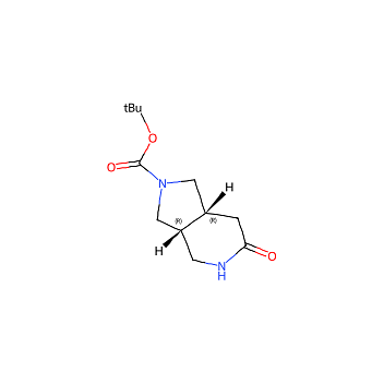 CC(C)(C)OC(=O)N1C[C@H]2CNC(=O)C[C@H]2C1